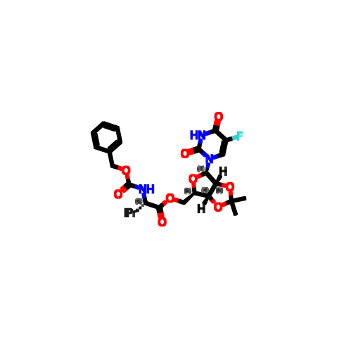 CC(C)[C@H](NC(=O)OCc1ccccc1)C(=O)OC[C@H]1O[C@@H](n2cc(F)c(=O)[nH]c2=O)[C@@H]2OC(C)(C)O[C@@H]21